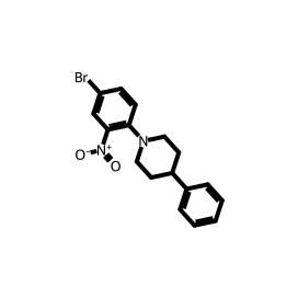 O=[N+]([O-])c1cc(Br)ccc1N1CCC(c2ccccc2)CC1